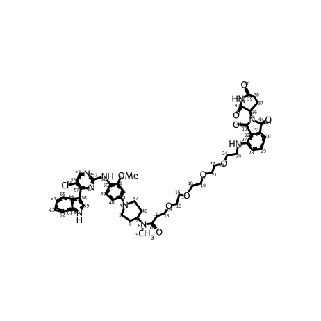 COc1cc(N2CCC(N(C)C(=O)CCOCCOCCOCCOCCNc3cccc4c3C(=O)N(C3CCC(=O)NC3=O)C4=O)CC2)ccc1Nc1ncc(Cl)c(-c2c[nH]c3ccccc23)n1